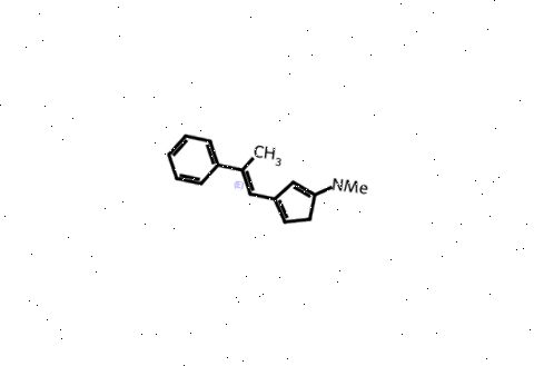 CNC1=CC(/C=C(\C)c2ccccc2)=CC1